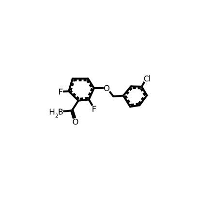 BC(=O)c1c(F)ccc(OCc2cccc(Cl)c2)c1F